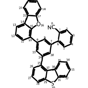 N#Cc1ccccc1-c1cc(-c2cccc3c2oc2ccccc23)cc(-c2cccc3sc4ccccc4c23)c1